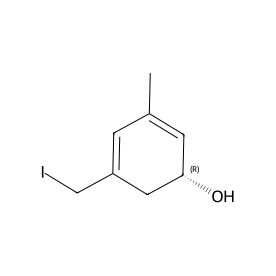 CC1=C[C@H](O)CC(CI)=C1